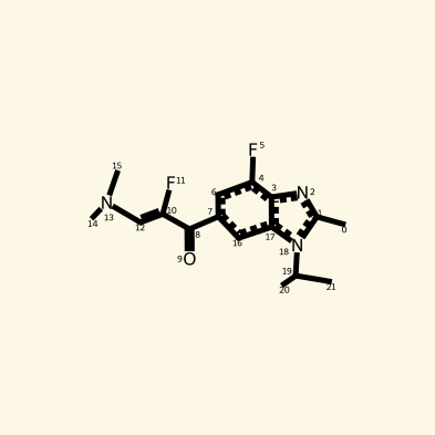 Cc1nc2c(F)cc(C(=O)/C(F)=C/N(C)C)cc2n1C(C)C